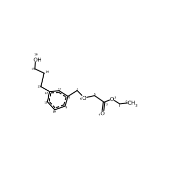 CCOC(=O)COCc1cccc(CCCO)c1